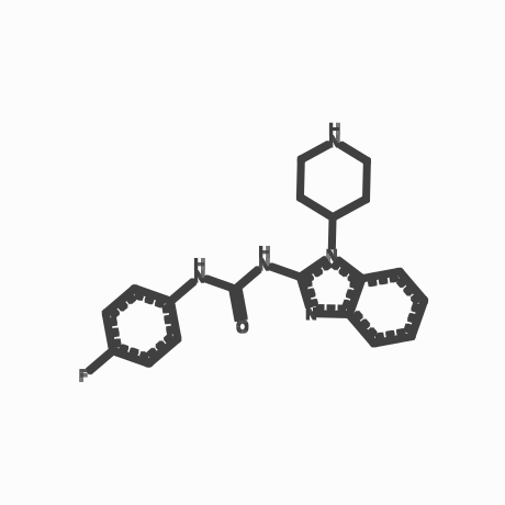 O=C(Nc1ccc(F)cc1)Nc1nc2ccccc2n1C1CCNCC1